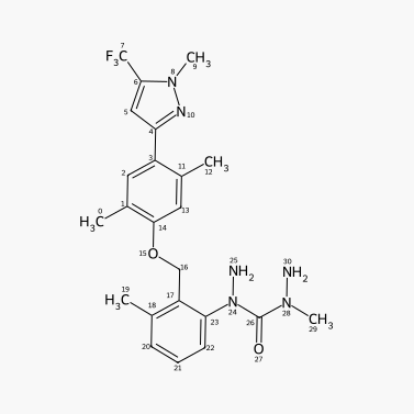 Cc1cc(-c2cc(C(F)(F)F)n(C)n2)c(C)cc1OCc1c(C)cccc1N(N)C(=O)N(C)N